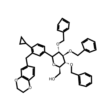 OC[C@H]1OC(c2ccc(C3CC3)c(Cc3ccc4c(c3)OCCO4)c2)[C@H](OCc2ccccc2)[C@@H](OCc2ccccc2)[C@@H]1OCc1ccccc1